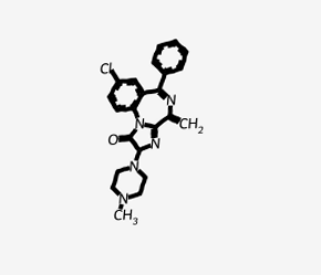 C=C1N=C(c2ccccc2)c2cc(Cl)ccc2N2C(=O)C(N3CCN(C)CC3)N=C12